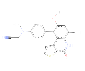 COc1cc(C)c2[nH]c(=O)c3sccc3c2c1-c1ccc(N(C)CC#N)cc1